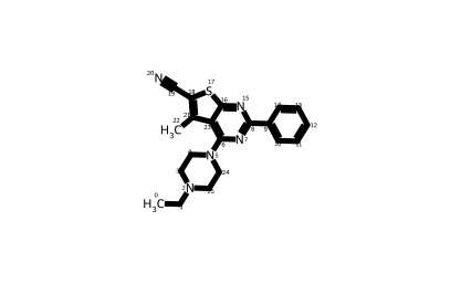 CCN1CCN(c2nc(-c3ccccc3)nc3sc(C#N)c(C)c23)CC1